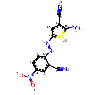 N#Cc1cc([N+](=O)[O-])ccc1/N=N/c1cc(C#N)c(N)s1